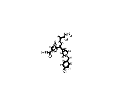 CC(CCC(c1nc(C(=O)O)cn1C)C1C2CN(Cc3ccc(Cl)cc3)CC21)C(N)=O